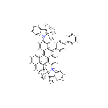 CC1(C)c2ccccc2N(c2ccc3c(-c4cccc5ccccc45)c4cc(N5c6ccccc6C(C)(C)C5(C)C)ccc4c(-c4ccc(-c5ccccc5)cc4)c3c2)C1(C)C